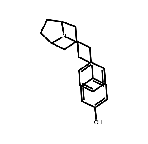 Oc1ccc(OCCN2C3CCC2CC(Cc2ccccc2)C3)cc1